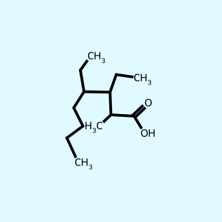 CCCCC(CC)C(CC)C(C)C(=O)O